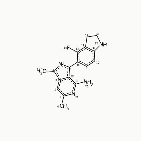 Cc1cn2c(C)nc(-c3ccc4c(c3F)CCN4)c2c(N)n1